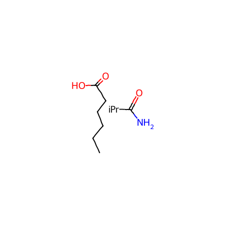 CC(C)C(N)=O.CCCCCC(=O)O